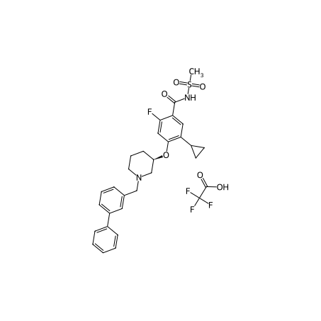 CS(=O)(=O)NC(=O)c1cc(C2CC2)c(O[C@@H]2CCCN(Cc3cccc(-c4ccccc4)c3)C2)cc1F.O=C(O)C(F)(F)F